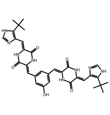 CC(C)(C)c1[nH]cnc1/C=c1\[nH]c(=O)/c(=C/c2cc(O)cc(/C=c3\[nH]c(=O)/c(=C/c4nc[nH]c4C(C)(C)C)[nH]c3=O)c2)[nH]c1=O